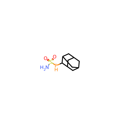 NS(=O)(=O)PC1C2CC3CC(C2)CC1C3